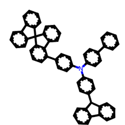 c1ccc(-c2ccc(N(c3ccc(-c4cccc5c4-c4ccccc4C54c5ccccc5-c5ccccc54)cc3)c3ccc(C4c5ccccc5-c5ccccc54)cc3)cc2)cc1